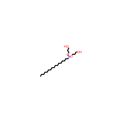 CCCCCCCCCCCCCCCCCN(OCCCO)OCCCO